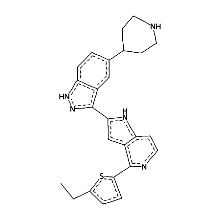 CCc1ccc(-c2nccc3[nH]c(-c4n[nH]c5ccc(C6CCNCC6)cc45)cc23)s1